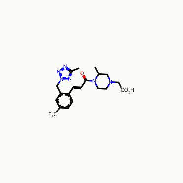 Cc1nnn(Cc2cc(C(F)(F)F)ccc2C=CC(=O)N2CCN(CC(=O)O)CC2C)n1